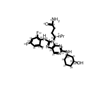 CCC[C@@H](CCC(N)=O)n1c(Nc2c(F)cc(F)cc2F)nc2cnc(N[C@@H]3CCC[C@H](O)C3)nc21